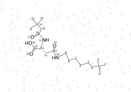 CC(C)(C)CCCCCCNC(=O)C[C@@H](NC(=O)CC(C)(C)C)C(=O)O